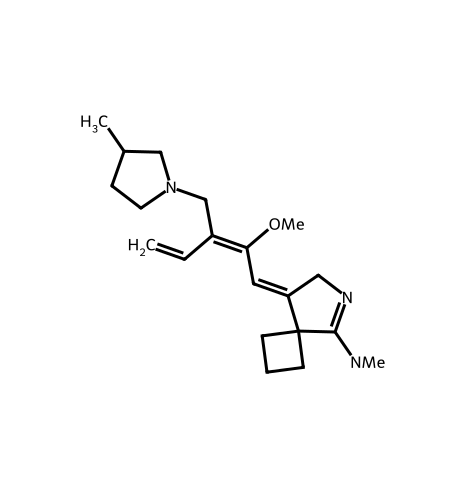 C=C/C(CN1CCC(C)C1)=C(\C=C1/CN=C(NC)C12CCC2)OC